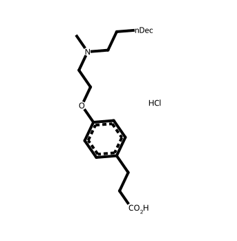 CCCCCCCCCCCCN(C)CCOc1ccc(CCC(=O)O)cc1.Cl